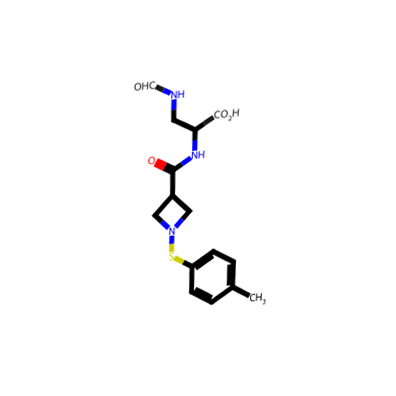 Cc1ccc(SN2CC(C(=O)NC(CNC=O)C(=O)O)C2)cc1